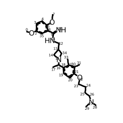 COc1ccc(OC)c(C(=N)NCC2CN(C(C)c3ccc(OCCCCN(C)C)c(C)c3C)C2)c1